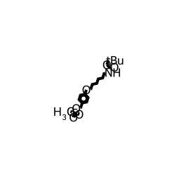 CC(C)(C)OC(=O)NCCCCCCOc1ccc(COS(C)(=O)=O)cc1